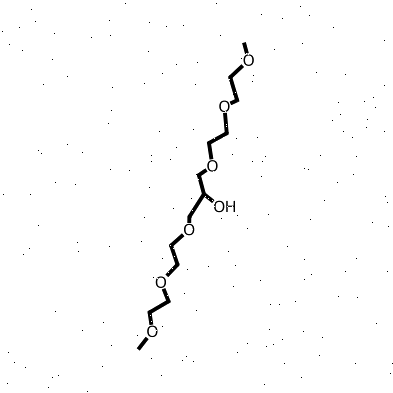 COCCOCCOCC(O)COCCOCCOC